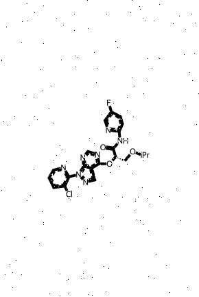 CC(C)OC[C@H](Oc1ncnc2c1cnn2-c1ncccc1Cl)C(=O)Nc1ccc(F)cn1